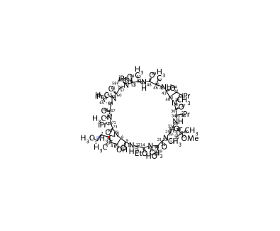 C/C=C/C[C@@H](C)[C@@H](O)C1C(=O)N[C@@H](CC)C(=O)N(C)[C@H](CO)C(=O)N(C)[C@@H](CC(C)(C)OC)C(=O)N[C@H](C(C)C)C(=O)N(C)[C@H](CC(C)C)C(=O)N[C@H](C)C(=O)N[C@@H](C)C(=O)N(C)[C@@H](CC(C)C)C(=O)N(C)[C@@H](CC(C)C)C(=O)N(C)[C@@H](C(C)C)C(=O)N1C